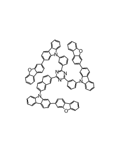 c1cc(-c2nc(-c3cccc(-n4c5ccccc5c5ccc(-c6ccc7c(c6)oc6ccccc67)cc54)c3)nc(-c3ccc4ccc(-n5c6ccccc6c6ccc(-c7ccc8c(c7)oc7ccccc78)cc65)cc4c3)n2)cc(-n2c3ccccc3c3ccc(-c4ccc5c(c4)oc4ccccc45)cc32)c1